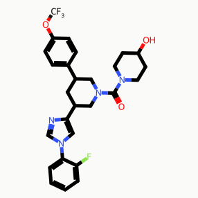 O=C(N1CCC(O)CC1)N1CC(c2ccc(OC(F)(F)F)cc2)CC(c2cn(-c3ccccc3F)cn2)C1